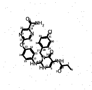 CCC(=O)NC1=CNC(Nc2ccc(Oc3cnc(C(N)=O)cn3)cc2)N(Cc2ccc(Cl)cc2)C1=O